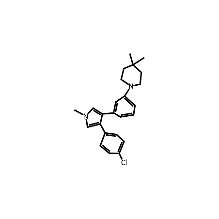 Cn1cc(-c2ccc(Cl)cc2)c(-c2cccc(N3CCC(C)(C)CC3)c2)c1